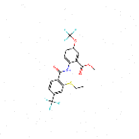 CCSc1cc(C(F)(F)F)ccc1C(=O)NC1=CCC(OC(F)(F)F)C=C1C(=O)OC